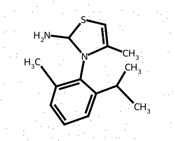 CC1=CSC(N)N1c1c(C)cccc1C(C)C